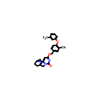 N#Cc1cc(COc2cc3n(c(=O)n2)CC24CCC(CC2)N34)ccc1Oc1cccc(C(F)(F)F)c1